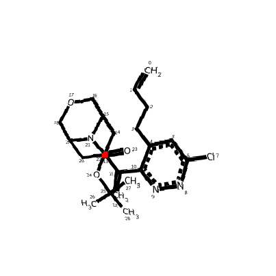 C=CCCc1cc(Cl)nnc1C(=C)C1CC2COCC(C1)N2C(=O)OC(C)(C)C